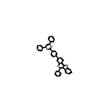 c1ccc(-c2cc(-c3ccccc3)nc(-c3ccc(-c4ccc5c(c4)nc(-c4ccccc4)c4c6ccccc6sc54)cc3)n2)cc1